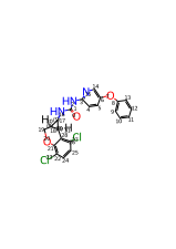 O=C(Nc1ccc(Oc2ccccc2)cn1)N[C@@H]1[C@@H]2COc3c(Cl)ccc(Cl)c3[C@@H]21